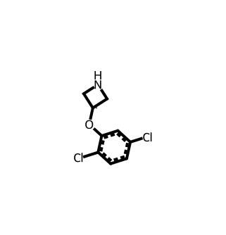 Clc1ccc(Cl)c(O[C]2CNC2)c1